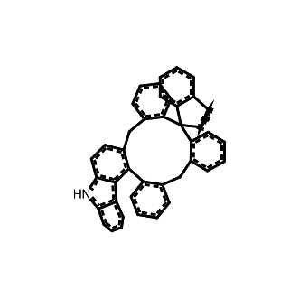 c1ccc2c(c1)Cc1ccccc1C1(c3ccccc3Cc3ccc4[nH]c5ccccc5c4c3-2)c2ccccc2-c2ccccc21